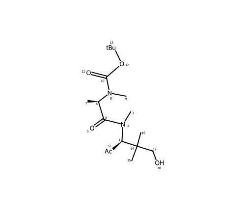 CC(=O)[C@@H](N(C)C(=O)[C@@H](C)N(C)C(=O)OC(C)(C)C)C(C)(C)CO